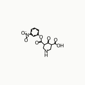 O=C(O)C1CNCC(C(=O)Oc2cccc([N+](=O)[O-])c2)C1=O